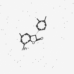 CCCc1cc(C)cc2c1OC(=O)[C@H]2c1ccc(C)c(C)c1